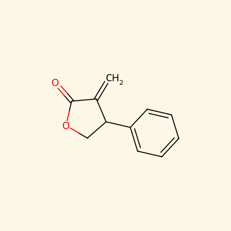 C=C1C(=O)OCC1c1ccccc1